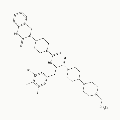 CCOC(=O)CN1CCN(C2CCN(C(=O)C(Cc3cc(C)c(C)c(Br)c3)NC(=O)N3CCC(N4Cc5ccccc5NC4=O)CC3)CC2)CC1